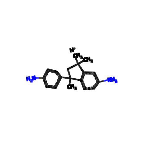 CC1(C)CC(C)(c2ccc(N)cc2)c2ccc(N)cc21.[H+]